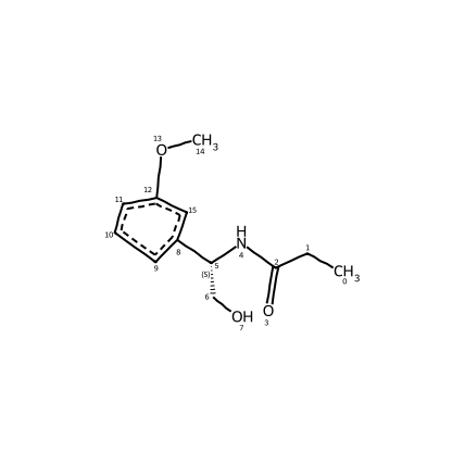 CCC(=O)N[C@H](CO)c1cccc(OC)c1